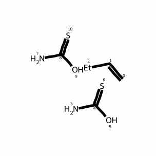 C=CCC.NC(O)=S.NC(O)=S